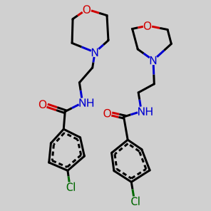 O=C(NCCN1CCOCC1)c1ccc(Cl)cc1.O=C(NCCN1CCOCC1)c1ccc(Cl)cc1